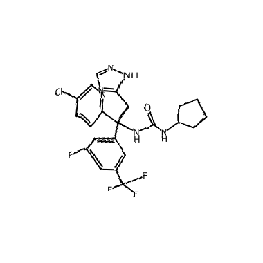 O=C(NC1CCCC1)NC(Cc1ncn[nH]1)(c1cc(F)cc(C(F)(F)F)c1)c1ccc(Cl)cn1